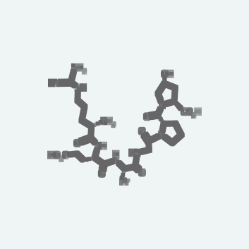 CC(C)[C@H](NC(=O)[C@H](CCC(=O)O)NC(=O)[C@@H](N)CCCNC(=N)N)C(=O)NCC(=O)N1CCC[C@H]1C(=O)N1C[C@H](O)C[C@H]1C(=O)O